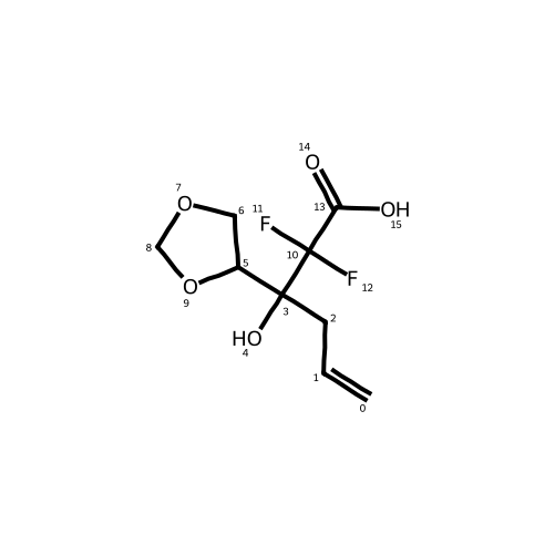 C=CCC(O)(C1COCO1)C(F)(F)C(=O)O